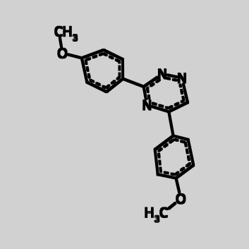 COc1ccc(-c2cnnc(-c3ccc(OC)cc3)n2)cc1